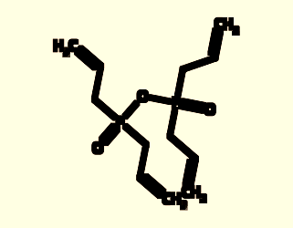 C=CCP(=O)(CC=C)OP(=O)(CC=C)CC=C